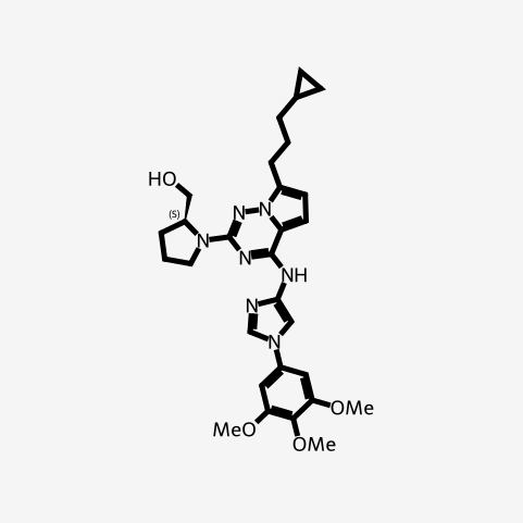 COc1cc(-n2cnc(Nc3nc(N4CCC[C@H]4CO)nn4c(CCCC5CC5)ccc34)c2)cc(OC)c1OC